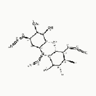 CC(=O)OC1[C@@H](O)[C@H](O[C@H]2OC(C(C)C)[C@@H](C)[C@H](C)C2N=[N+]=[N-])C(N=[N+]=[N-])C[C@H]1N=[N+]=[N-]